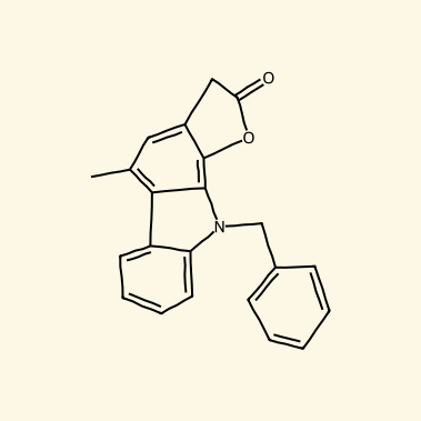 Cc1cc2c(c3c1c1ccccc1n3Cc1ccccc1)OC(=O)C2